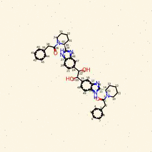 O=C(Cc1ccccc1)N1CCCC[C@H]1c1nc2cc(C(O)C(O)c3ccc4[nH]c([C@@H]5CCCCN5C(=O)Cc5ccccc5)nc4c3)ccc2[nH]1